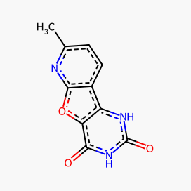 Cc1ccc2c(n1)oc1c(=O)[nH]c(=O)[nH]c12